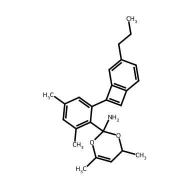 CCCc1ccc2c(c1)C(c1cc(C)cc(C)c1C1(N)OC(C)=CC(C)O1)=C2